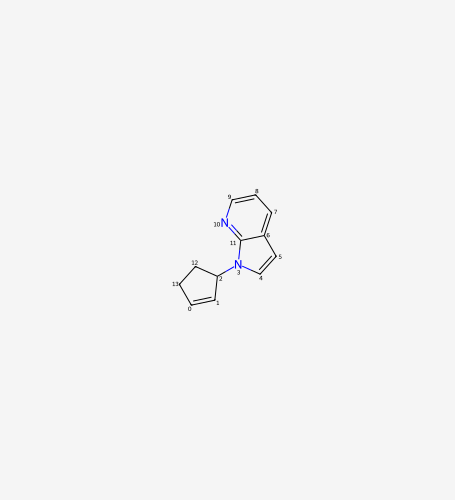 C1=CC(n2ccc3cccnc32)CC1